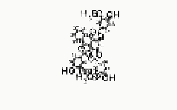 COc1cc(C(=O)Oc2ccc3c(OC(=O)c4ccc(O)c(OC)c4)c4ccccc4cc3c2OC(=O)c2ccc(O)c(OC)c2)ccc1O